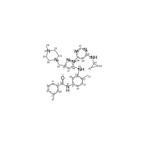 Cc1cccc(C(=O)Nc2ccc(C)c(Nc3cc(CN4CCN(C)CC4)nn3-c3cc(NC4CC4)ncn3)c2)c1